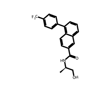 C[C@H](CO)NC(=O)c1ccc2c(-c3ccc(C(F)(F)F)cc3)cccc2c1